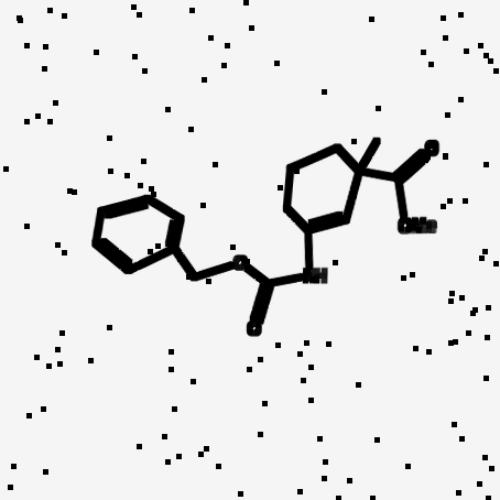 COC(=O)C1(C)C=C(NC(=O)OCc2ccccc2)CCC1